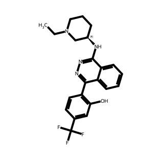 CCN1CCC[C@@H](Nc2nnc(-c3ccc(C(F)(F)F)cc3O)c3ccccc23)C1